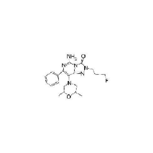 CC1CN(c2c(-c3ccccc3)nc(N)n3c(=O)n(CCCF)nc23)CC(C)O1